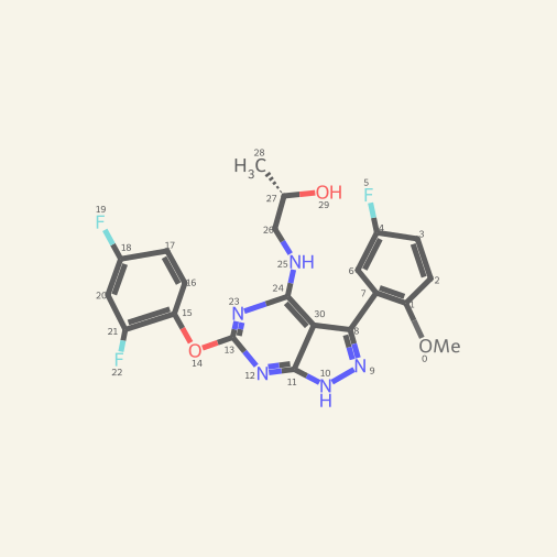 COc1ccc(F)cc1-c1n[nH]c2nc(Oc3ccc(F)cc3F)nc(NC[C@H](C)O)c12